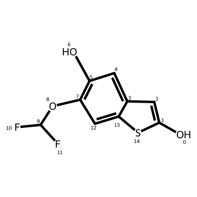 Oc1cc2cc(O)c(OC(F)F)cc2s1